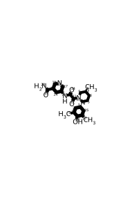 Cc1cc([C@H]2CC[C@H](C)CN2C(=O)C(=O)Nc2cncc(C(N)=O)c2)cc(C)c1O